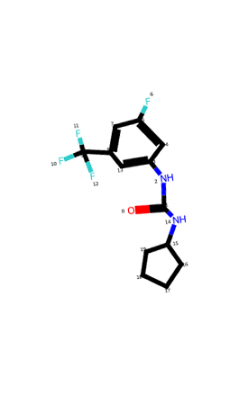 O=C(Nc1cc(F)cc(C(F)(F)F)c1)NC1CCCC1